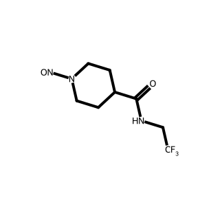 O=NN1CCC(C(=O)NCC(F)(F)F)CC1